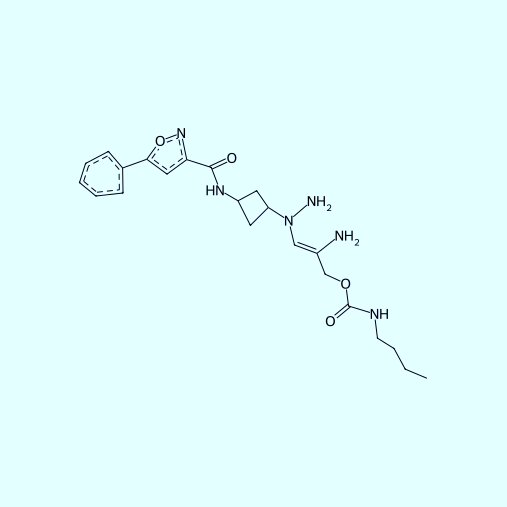 CCCCNC(=O)OC/C(N)=C/N(N)C1CC(NC(=O)c2cc(-c3ccccc3)on2)C1